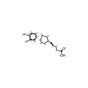 O=C(O)CCC=C[C@H]1CC[C@H](c2ccc(F)c(F)c2)CC1